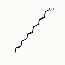 CC=CCCC=CCCC=CCO